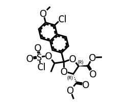 COC(=O)[C@@H]1OC(c2ccc3c(Cl)c(OC)ccc3c2)(C(C)OS(=O)(=O)Cl)O[C@H]1C(=O)OC